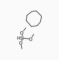 C1CCCCCCC1.CO[SiH](OC)OC